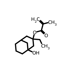 C=C(C)C(=O)OC1(CC)CC2CCCC(O)(C2)C1